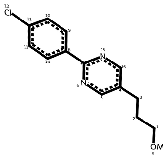 COCCCc1cnc(-c2ccc(Cl)cc2)nc1